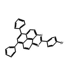 Brc1ccc(-c2nc3ccc4c(-c5ccccc5)cc(-c5ccccc5)c5ccc(n2)c3c45)cc1